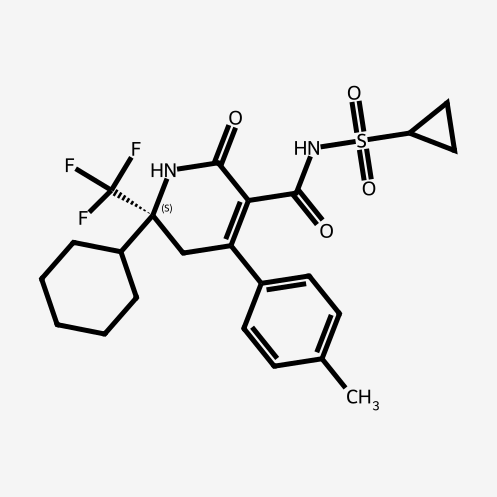 Cc1ccc(C2=C(C(=O)NS(=O)(=O)C3CC3)C(=O)N[C@@](C3CCCCC3)(C(F)(F)F)C2)cc1